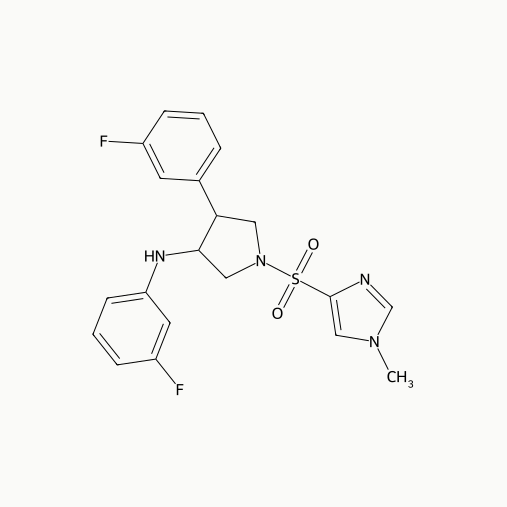 Cn1cnc(S(=O)(=O)N2CC(Nc3cccc(F)c3)C(c3cccc(F)c3)C2)c1